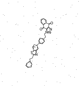 O=C1c2ccccc2C(=O)c2c1nnn2CCc1ccc(-c2ccc3sc(CCc4ccccc4)nc3c2)cc1